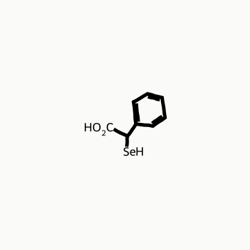 O=C(O)C([SeH])c1ccccc1